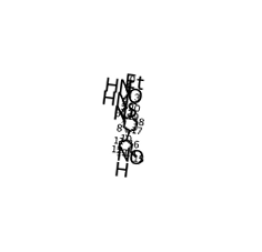 CCNC(=O)Nc1nc2cc(-c3cc[nH]c(=O)c3)ccc2s1